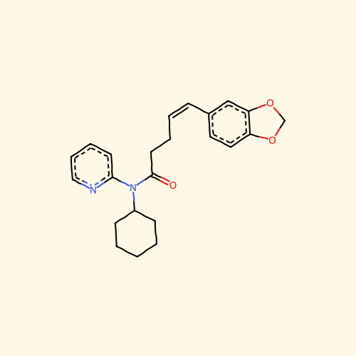 O=C(CC/C=C\c1ccc2c(c1)OCO2)N(c1ccccn1)C1CCCCC1